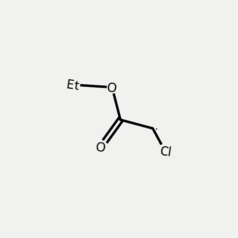 CCOC(=O)[CH]Cl